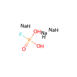 O=P(O)(O)F.[NaH].[NaH].[NaH]